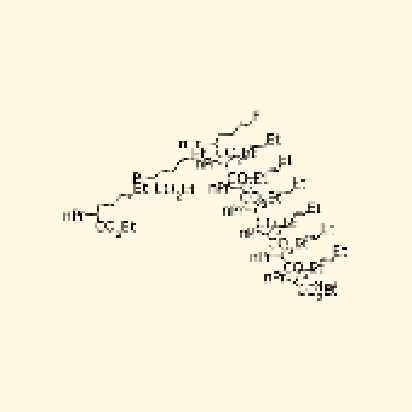 CC/C=C/CCC(CCC)C(=O)OCC.CC/C=C/CCC(CCC)C(=O)OCC.CC/C=C/CCC(CCC)C(=O)OCC.CC/C=C/CCC(CCC)C(=O)OCC.CC/C=C/CCC(CCC)C(=O)OCC.CC/C=C/CCC(CCC)C(=O)OCC.CC/C=C/CCC(CCC)C(=O)OCC.CC/C=C/CCC(CCC)C(=O)OCC.CC/C=C/CCC(CCC)C(=O)OCC.[Na+]